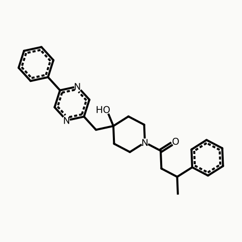 CC(CC(=O)N1CCC(O)(Cc2cnc(-c3ccccc3)cn2)CC1)c1ccccc1